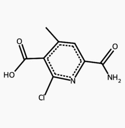 Cc1cc(C(N)=O)nc(Cl)c1C(=O)O